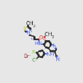 COc1cc2ncc(C#N)c(Nc3ccc(F)c(Cl)c3)c2cc1NC(=O)/C=C/C[n+]1csc(C)c1.[Br-]